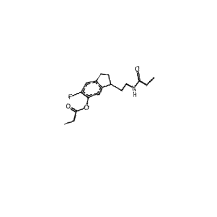 CCC(=O)NCCC1CCc2cc(F)c(OC(=O)CC)cc21